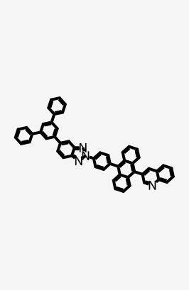 c1ccc(-c2cc(-c3ccccc3)cc(-c3ccc4nn(-c5ccc(-c6c7ccccc7c(-c7cnc8ccccc8c7)c7ccccc67)cc5)nc4c3)c2)cc1